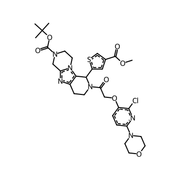 COC(=O)c1csc(C2c3c(nc4n3CCN(C(=O)OC(C)(C)C)C4)CCN2C(=O)COc2ccc(N3CCOCC3)nc2Cl)c1